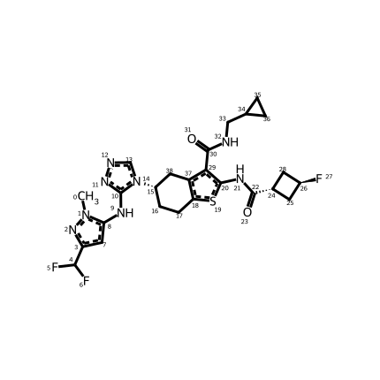 Cn1nc(C(F)F)cc1Nc1nncn1[C@H]1CCc2sc(NC(=O)[C@H]3C[C@H](F)C3)c(C(=O)NCC3CC3)c2C1